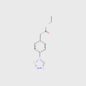 CCOC(=O)Cc1ccc(-n2cnnn2)cc1